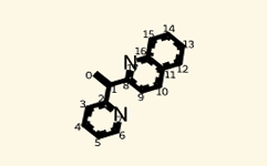 C=C(c1ccccn1)c1ccc2ccccc2n1